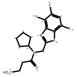 O=C(O)CCC(=O)N(Cc1nc2c(F)c(F)cc(F)c2s1)C1CCCC1